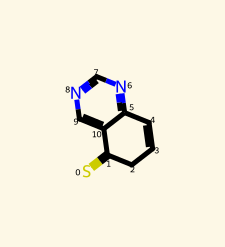 S=C1CC=Cc2ncncc21